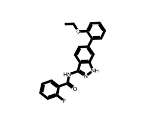 CCOc1ccccc1-c1ccc2c(NC(=O)c3ccccc3F)n[nH]c2c1